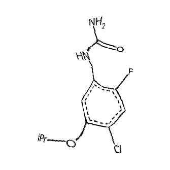 CC(C)Oc1cc(NC(N)=O)c(F)cc1Cl